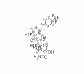 NC(=O)C1=C(O)C[C@@H]2C[C@@H]3CC4C(CCC5CCC(C(F)(F)F)CC5)CCC(O)C4C(=O)C3C(O)[C@]2(O)C1=O